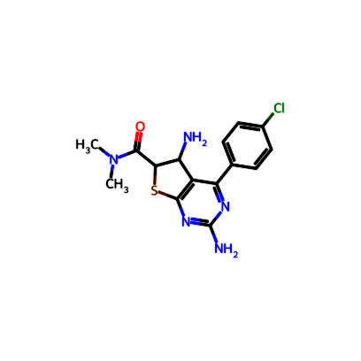 CN(C)C(=O)C1Sc2nc(N)nc(-c3ccc(Cl)cc3)c2C1N